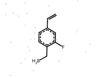 BCc1ccc(C=C)cc1F